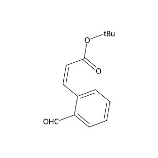 CC(C)(C)OC(=O)/C=C\c1ccccc1C=O